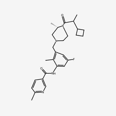 Cc1ccc(C(=O)Nc2cc(F)cc(CN3CCN(C(=O)C(C)C4CCC4)[C@@H](C)C3)c2C)cn1